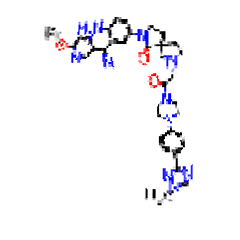 CC(C)Oc1ccc(C(=N)c2cc(N3CCC4(CCN(CC(=O)N5CCN(c6ccc(-c7ncn(C)n7)cc6)CC5)C4)C3=O)ccc2N)cn1